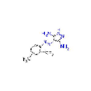 Nc1n[nH]c(N)c1N=Nc1ccc(C(F)(F)F)cc1C(F)(F)F